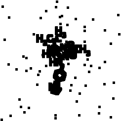 CC(C)c1n[nH]c2c(NCc3ccc(-n4cccn4)cc3)nc(S(C)(=O)=O)nc12